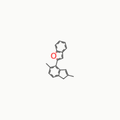 CC1=Cc2c(ccc(C)c2-c2cc3ccccc3o2)C1